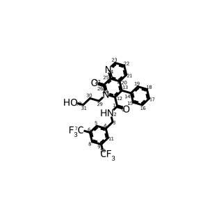 O=C(NCc1cc(C(F)(F)F)cc(C(F)(F)F)c1)c1c(-c2ccccc2)c2cccnc2c(=O)n1CCCO